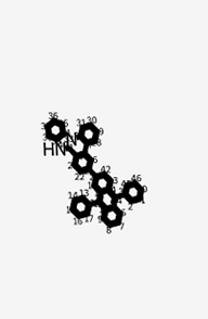 c1ccc(-c2c3ccccc3c(-c3ccccc3)c3cc(-c4ccc5c(c4)-c4ccccc4N4c6ccccc6NC54)ccc23)cc1